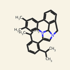 Cc1cc2c(cc1C)N1C(c3c(C(C)C)cccc3C(C)C)=CN3Cc4cccc-2c4C31